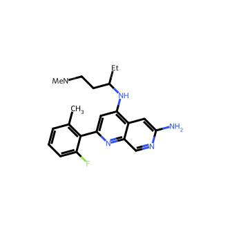 CCC(CCNC)Nc1cc(-c2c(C)cccc2F)nc2cnc(N)cc12